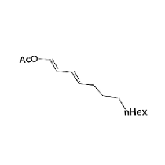 CCCCCCCCC/C=C/C=C/OC(C)=O